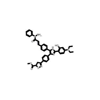 CCN(CC)c1ccc(-c2nc(-c3ccc(C4=NOC(C(=O)OC)C4)cc3)c(-c3ccc(/C=C/C(=O)N(N)c4ccccc4)cc3)[nH]2)c(O)c1